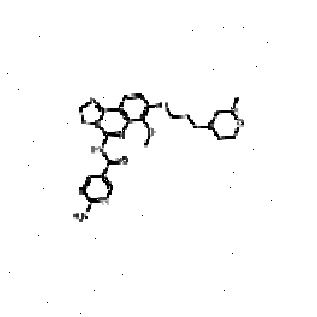 COc1c(OCCCN2CCO[C@H](C)C2)ccc2c1N=C(NC(=O)c1cnc(N)nc1)N1CCN=C21